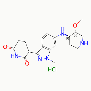 CO[C@@H]1CNCC[C@H]1Nc1ccc2c(C3CCC(=O)NC3=O)nn(C)c2c1.Cl